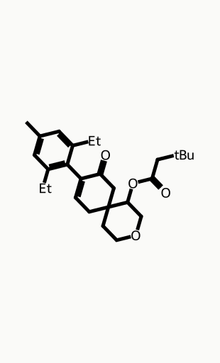 CCc1cc(C)cc(CC)c1C1=CCC2(CCOCC2OC(=O)CC(C)(C)C)CC1=O